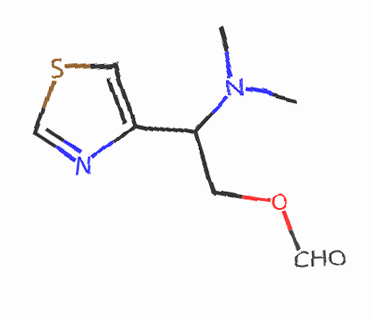 CN(C)C(COC=O)c1cscn1